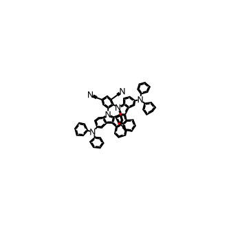 N#Cc1cc(C#N)c(-n2c3ccc(N(c4ccccc4)c4ccccc4)cc3c3c4ccccc4ccc32)c(-n2c3ccc(N(c4ccccc4)c4ccccc4)cc3c3c4ccccc4ccc32)c1